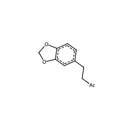 CC(=O)CCc1ccc2c(c1)OCO2